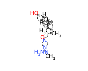 CN=C(N)N1CCN(C(=O)CC[C@@H](C)[C@H]2CC[C@H]3[C@@H]4CC[C@H]5C[C@@H](O)CC[C@]5(C)[C@H]4CC[C@]23C)CC1